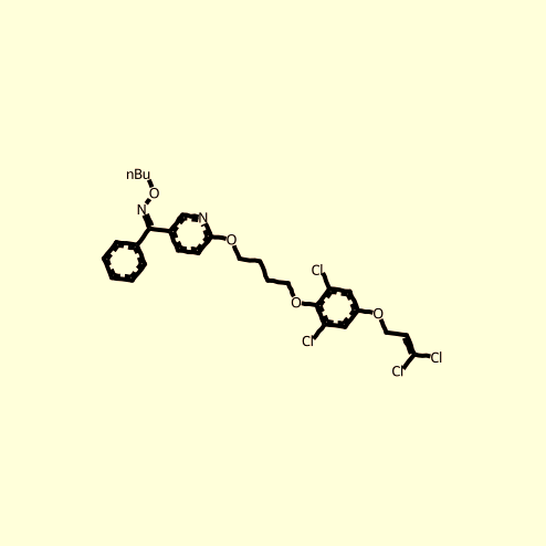 CCCCON=C(c1ccccc1)c1ccc(OCCCCOc2c(Cl)cc(OCC=C(Cl)Cl)cc2Cl)nc1